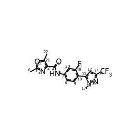 Cc1nc(C(=O)Nc2ccc(-c3cc(C(F)(F)F)nn3C)c(F)c2)c(C)o1